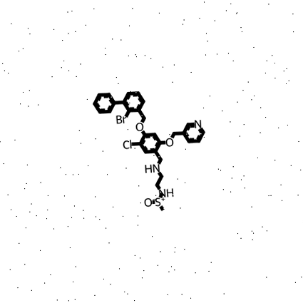 C[S+]([O-])NCCNCc1cc(Cl)c(OCc2cccc(-c3ccccc3)c2Br)cc1OCc1cccnc1